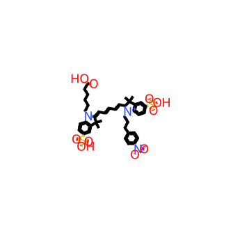 CC1(C)C(/C=C/C=C/C=C2/N(CCCCCC(=O)O)c3ccc(S(=O)(=O)O)cc3C2(C)C)=[N+](CCCc2ccc([N+](=O)[O-])cc2)c2ccc(S(=O)(=O)O)cc21